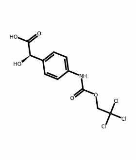 O=C(Nc1ccc([C@@H](O)C(=O)O)cc1)OCC(Cl)(Cl)Cl